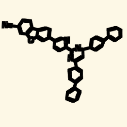 N#Cc1ccc2c(c1)oc1cc(-c3ccc(-c4nc(-c5ccc(-c6ccccc6)cc5)cc(-c5ccc(-c6ccccc6)cc5)n4)nc3)ccc12